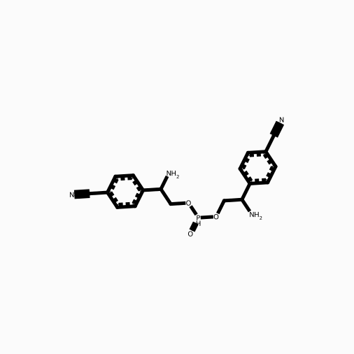 N#Cc1ccc(C(N)CO[PH](=O)OCC(N)c2ccc(C#N)cc2)cc1